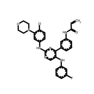 C=CC(=O)Nc1cccc(-c2nc(Nc3ccc(Cl)c(N4CCOCC4)c3)ncc2Nc2cccc(F)c2)c1